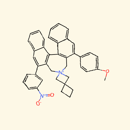 COc1ccc(-c2cc3ccccc3c3c2C[N+]2(Cc4c(-c5cccc([N+](=O)[O-])c5)cc5ccccc5c4-3)CC3(CCC3)C2)cc1